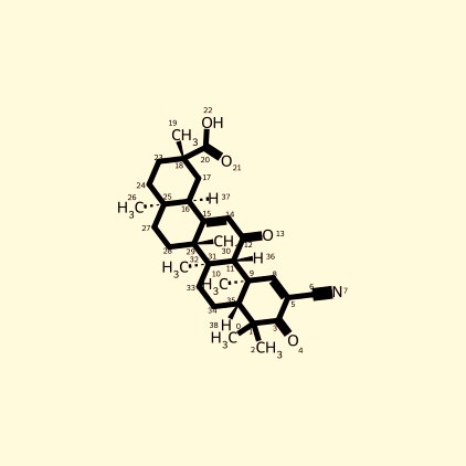 CC1(C)C(=O)C(C#N)=C[C@]2(C)[C@H]3C(=O)C=C4[C@@H]5C[C@@](C)(C(=O)O)CC[C@]5(C)CC[C@@]4(C)[C@]3(C)CC[C@@H]12